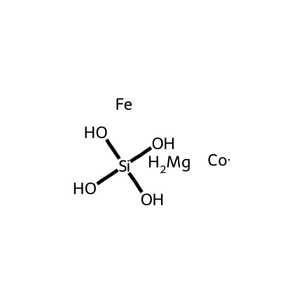 O[Si](O)(O)O.[Co].[Fe].[MgH2]